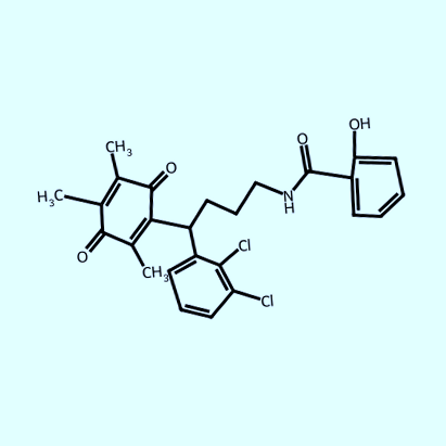 CC1=C(C)C(=O)C(C(CCCNC(=O)c2ccccc2O)c2cccc(Cl)c2Cl)=C(C)C1=O